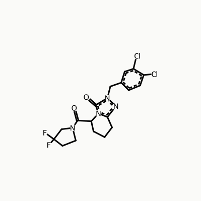 O=C(C1CCCc2nn(Cc3ccc(Cl)c(Cl)c3)c(=O)n21)N1CCC(F)(F)C1